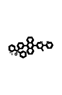 CC1C=C(c2c3ccccc3c(-c3cccc(P(=O)(c4ccccc4)C4C=CC=C[C@H]4C)c3)c3ccccc23)C=NC1c1ccccn1